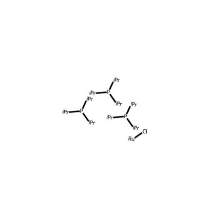 CC(C)P(C(C)C)C(C)C.CC(C)P(C(C)C)C(C)C.CC(C)P(C(C)C)C(C)C.[Cl][Ru]